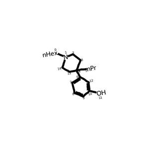 CCCCCCN1CCC(CCC)(c2cccc(O)c2)CC1